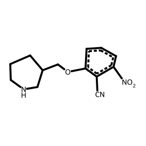 N#Cc1c(OCC2CCCNC2)cccc1[N+](=O)[O-]